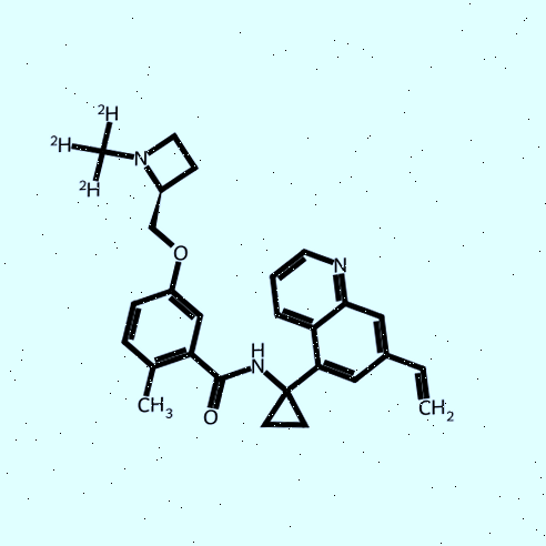 [2H]C([2H])([2H])N1CC[C@H]1COc1ccc(C)c(C(=O)NC2(c3cc(C=C)cc4ncccc34)CC2)c1